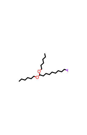 CCCCCCOC(CCCCCCCCI)OCCCCCC